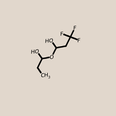 CCC(O)OC(O)CC(F)(F)F